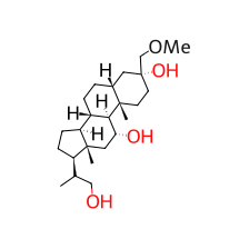 COC[C@@]1(O)CC[C@@]2(C)[C@H](CC[C@@H]3[C@@H]2[C@H](O)C[C@]2(C)[C@@H](C(C)CO)CC[C@@H]32)C1